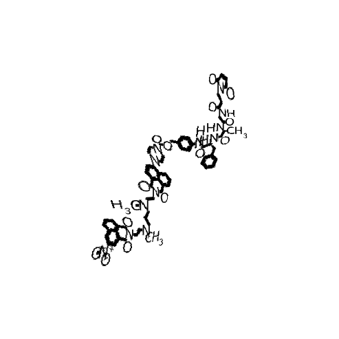 C[C@H](NC(=O)CNC(=O)CCN1C(=O)C=CC1=O)C(=O)N[C@@H](Cc1ccccc1)C(=O)Nc1ccc(COC(=O)N2CCN(c3ccc4c5c(cccc35)C(=O)N(CCN(C)CCCN(C)CCN3C(=O)c5cccc6cc([N+](=O)[O-])cc(c56)C3=O)C4=O)CC2)cc1